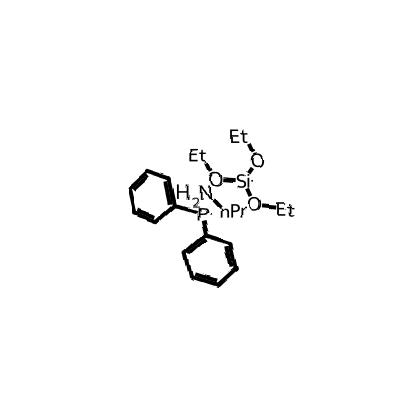 CCCN.CCO[Si](OCC)OCC.c1ccc([P]c2ccccc2)cc1